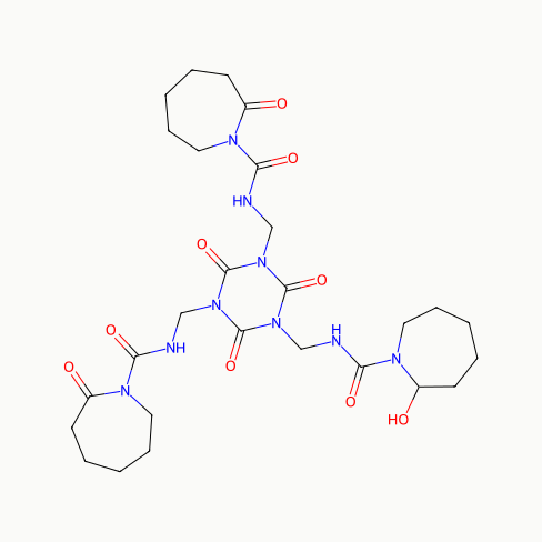 O=C1CCCCCN1C(=O)NCn1c(=O)n(CNC(=O)N2CCCCCC2=O)c(=O)n(CNC(=O)N2CCCCCC2O)c1=O